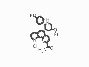 CCOC1CCCNC1.NC(=O)c1ccc2ccc3cccnc3c2n1.[Cl-].[Pt+][c]1ccccc1